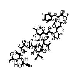 C#CC(=O)NC(NC(C)=O)C(=O)N[C@@H](C)C(=O)N[C@@H](C)C(=O)N(C)[C@@H](C(=O)N[C@H](C(=O)N(C)[C@@H]([C@@H](C)CC)[C@@H](CC(=O)N1CCC[C@H]1[C@H](OC)[C@@H](C)C(=O)N[C@@H](Cc1ccccc1)C(=O)OC)OC)C(C)C)C(C)C